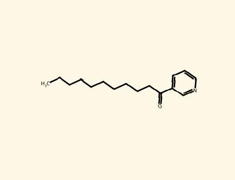 CCCCCCCCCCC(=O)c1cccnc1